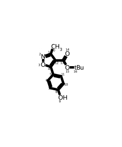 Cc1noc(-c2ccc(O)cc2)c1C(=O)OC(C)(C)C